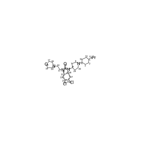 CC(C)C1CCC(N2CCC(n3c(=O)n(CCN4CCOCC4)c4cc(Cl)c(Cl)cc43)CC2)CC1